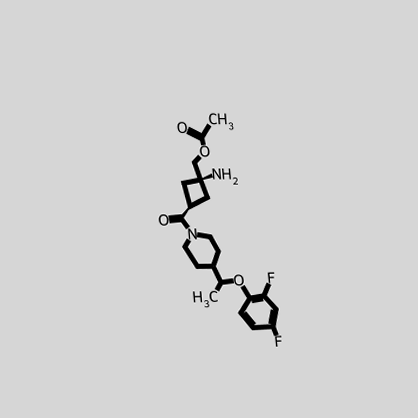 CC(=O)OC[C@]1(N)C[C@@H](C(=O)N2CCC(C(C)Oc3ccc(F)cc3F)CC2)C1